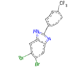 FC(F)(F)c1ccc(-c2nc3cc(Br)c(Br)cc3[nH]2)cc1